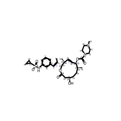 C/C(=C\c1cccc(NS(=O)(=O)C2CC2)c1)[C@H]1OC(=O)C[C@H](O)CC[C@H](C)[C@H](OC(=O)N2CCN(C)CC2)/C=C/[C@@H]1C